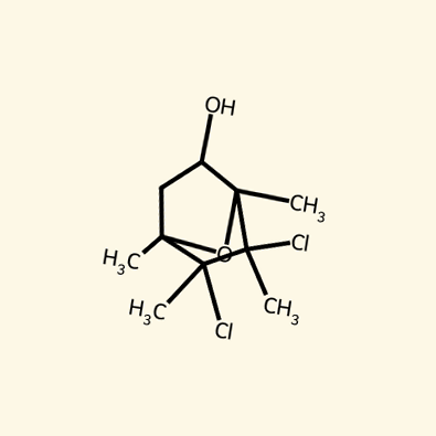 CC12CC(O)C(C)(O1)C(C)(Cl)C2(C)Cl